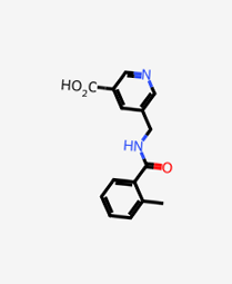 Cc1ccccc1C(=O)NCc1cncc(C(=O)O)c1